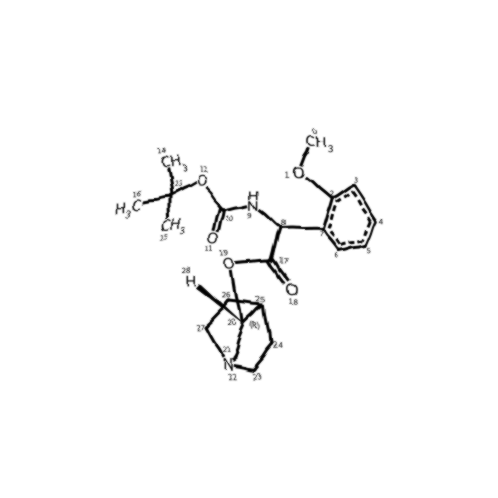 COc1ccccc1C(NC(=O)OC(C)(C)C)C(=O)O[C@H]1CN2CCC1CC2